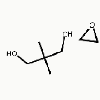 C1CO1.CC(C)(CO)CO